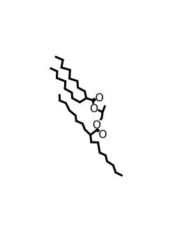 CCCCCCCCC(CCCCCCCC)C(=O)OCC(C)OC(=O)C(CCCCCCCC)CCCCCCCC